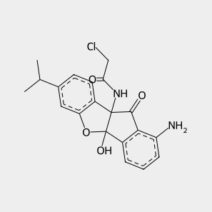 CC(C)c1ccc2c(c1)OC1(O)c3cccc(N)c3C(=O)C21NC(=O)CCl